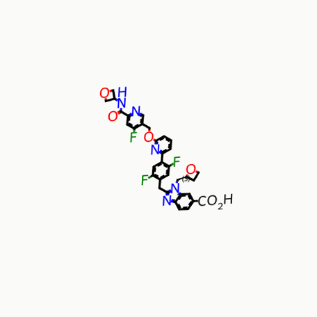 O=C(O)c1ccc2nc(Cc3cc(F)c(-c4cccc(OCc5cnc(C(=O)NC6COC6)cc5F)n4)cc3F)n(C[C@@H]3CCO3)c2c1